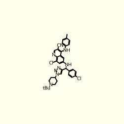 Cc1ccc(Nc2c(C#N)cnc3c(Cl)cc(N[C@@H](c4ccc(Cl)cc4)c4cn(C5CCN(C(C)(C)C)CC5)nn4)cc23)cc1